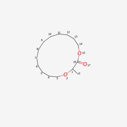 CC1OCCCCCCCCCCCCOC1=O